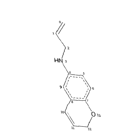 C=CCNc1ccc2c(c1)C=CCO2